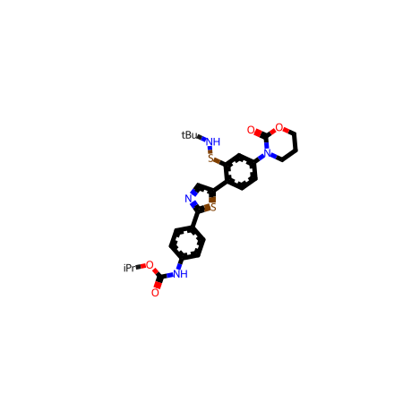 CC(C)OC(=O)Nc1ccc(-c2ncc(-c3ccc(N4CCCOC4=O)cc3SNC(C)(C)C)s2)cc1